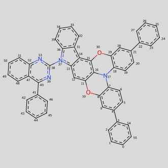 c1ccc(-c2ccc3c(c2)Oc2cc4c(c5c2N3c2ccc(-c3ccccc3)cc2O5)c2ccccc2n4-c2nc(-c3ccccc3)c3ccccc3n2)cc1